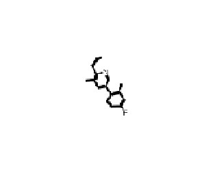 C/C=C\c1ncc(-c2ccc(F)cc2C)cc1C